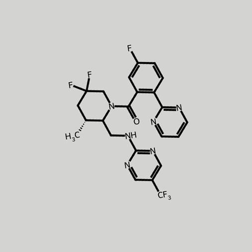 C[C@@H]1CC(F)(F)CN(C(=O)c2cc(F)ccc2-c2ncccn2)C1CNc1ncc(C(F)(F)F)cn1